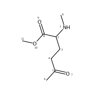 CNC(CCC(C)=O)C(=O)OC